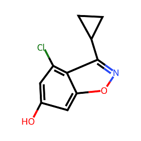 Oc1cc(Cl)c2c(C3CC3)noc2c1